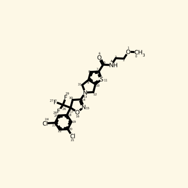 COCCNC(=O)c1cc2c(s1)CN(C1=NOC(c3cc(Cl)cc(Cl)c3)(C(F)(F)F)C1)C2